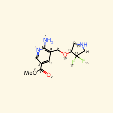 COC(=O)c1cnc(N)c(COC2CNCC2(F)F)c1